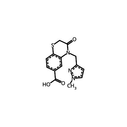 Cn1ccc(CN2C(=O)CSc3ccc(C(=O)O)cc32)n1